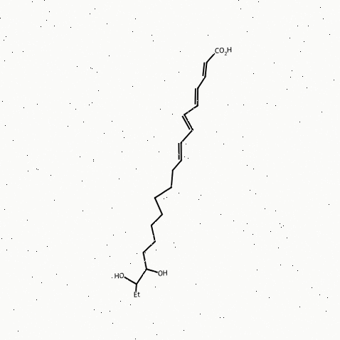 CCC(O)C(O)CCCCCCCC=CC=CC=CC=CC(=O)O